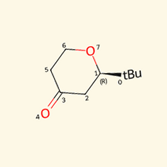 CC(C)(C)[C@H]1CC(=O)CCO1